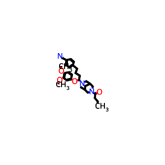 CCCC(=O)N1CC2CC(C1)CN(C(CCCc1ccc(C#N)cc1)Oc1ccc(OC)c(OC)c1)C2